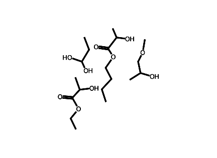 CCC(O)O.CCCCOC(=O)C(C)O.CCOC(=O)C(C)O.COCC(C)O